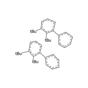 CC(C)(C)c1cccc(-c2ccccc2)c1C(C)(C)C.CC(C)(C)c1cccc(-c2ccccc2)c1C(C)(C)C